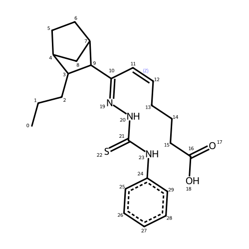 CCCC1C2CCC(C2)C1C(/C=C\CCCC(=O)O)=NNC(=S)Nc1ccccc1